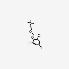 C[Si](C)(C)CCOCOc1c(Cl)cc(I)cc1Cl